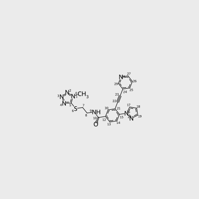 Cn1nnnc1SCCNC(=O)c1ccc(-n2cccn2)c(C#Cc2cccnc2)c1